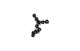 CC1(C)c2ccccc2-c2cc3c(cc21)Oc1c(cccc1-c1cccc(-c2nc(-c4ccc(-c5ccccc5)cc4)nc(-c4ccc(-c5ccccc5)cc4)n2)c1)O3